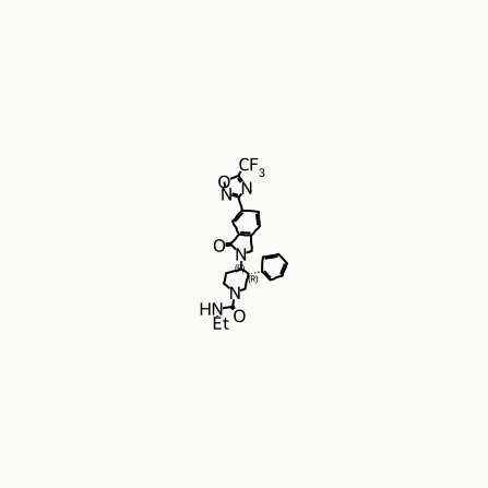 CCNC(=O)N1CC[C@@H](N2Cc3ccc(-c4noc(C(F)(F)F)n4)cc3C2=O)[C@H](c2ccccc2)C1